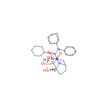 CN(CC1CCCCC1)C(=O)N1C2CC[C@@H]1[C@@H](P(=O)(O)O)N(C(=O)N(c1ccccc1)c1ccccc1)C2